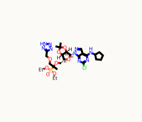 CCOP(=O)(OCC)C(C)(COCc1nn[nH]n1)OC[C@H]1O[C@@H](n2ncc3c(NC4CCCC4)nc(Cl)nc32)[C@@H]2OC(C)(C)O[C@@H]21